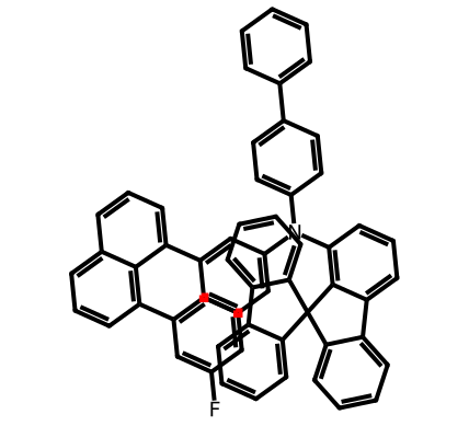 Fc1cccc(-c2cccc3cccc(-c4cccc(N(c5ccc(-c6ccccc6)cc5)c5cccc6c5C5(c7ccccc7-c7ccccc75)c5ccccc5-6)c4)c23)c1